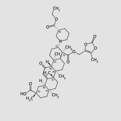 CCOC(=O)[C@@H]1CCCN([C@H]2CC[C@@]3(C)C(CC[C@]4(C)[C@@H]3C(=O)C=C3[C@@H]5C[C@@](C)(C(=O)O)CC[C@]5(C)CC[C@]34C)[C@]2(C)C(=O)OCc2oc(=O)oc2C)C1